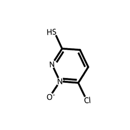 [O-][n+]1nc(S)ccc1Cl